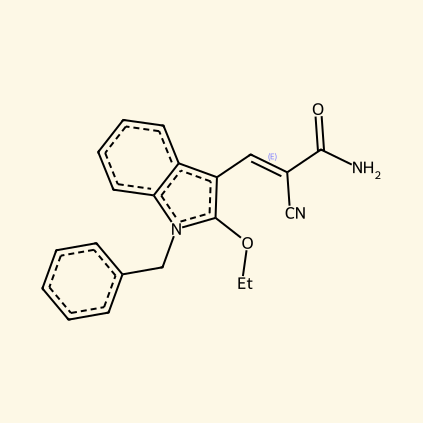 CCOc1c(/C=C(\C#N)C(N)=O)c2ccccc2n1Cc1ccccc1